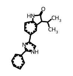 CC(C)C1C(=O)Nc2ccc(-c3c[nH]c(-c4ccccc4)n3)cc21